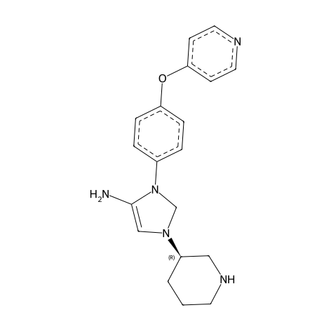 NC1=CN([C@@H]2CCCNC2)CN1c1ccc(Oc2ccncc2)cc1